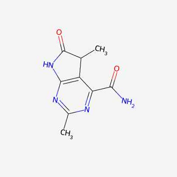 Cc1nc2c(c(C(N)=O)n1)C(C)C(=O)N2